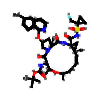 COc1ccc2c(O[C@@H]3C[C@H]4C(=O)N[C@]5(C(=O)NS(=O)(=O)C6(CF)CC6)C[C@H]5C=CCC[C@@H](C)O[C@@H](C)[C@H](NC(=O)OC(C)(C)C(F)(F)F)C(=O)N4C3)nccc2c1